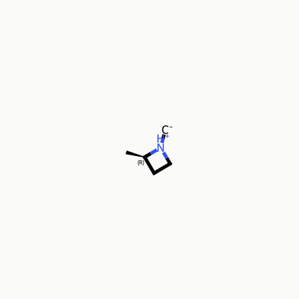 [CH2-][NH+]1CC[C@H]1C